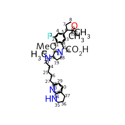 COc1c(F)cc(C2CCOC2(C)C)cc1[C@H](C(=O)O)N1CC[C@@H](N(C)CCCCCc2ccc3c(n2)NCCC3)C1